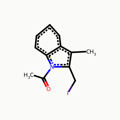 CC(=O)n1c(CI)c(C)c2ccccc21